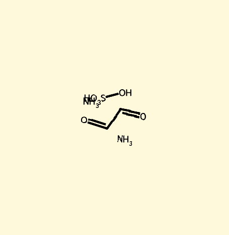 N.N.O=CC=O.O=S(=O)(O)O